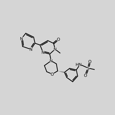 Cn1c(N2CCO[C@@H](c3cccc(NS(C)(=O)=O)c3)C2)nc(-c2ccncn2)cc1=O